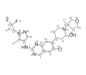 Cc1c(Nc2ncc3cc(Cl)c(C4CCN(C5(C)COC[C@@H]5O)CC4)cc3n2)cnn1C1CC1(F)F